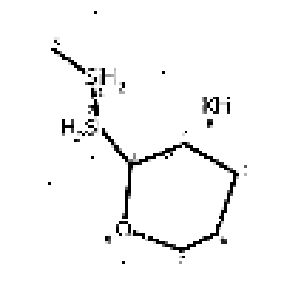 C[SiH2][SiH2]C1CCCCO1.[KH]